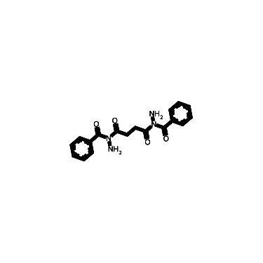 NN(C(=O)CCC(=O)N(N)C(=O)c1ccccc1)C(=O)c1ccccc1